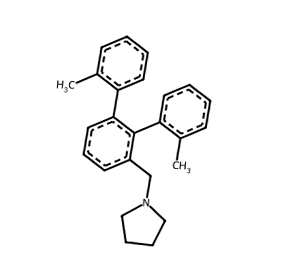 Cc1ccccc1-c1cccc(CN2CCCC2)c1-c1ccccc1C